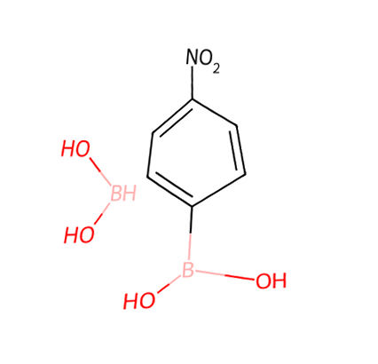 O=[N+]([O-])c1ccc(B(O)O)cc1.OBO